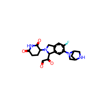 O=CC(=O)C1c2cc(N3CC4CC3CN4)c(F)cc2CN1C1CCC(=O)NC1=O